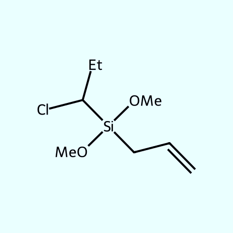 C=CC[Si](OC)(OC)C(Cl)CC